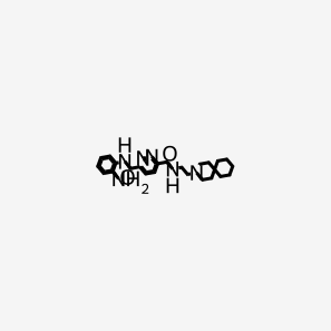 Nc1ccccc1NC(=O)c1ccc(C(=O)NCCN2CCC3(CCCCC3)CC2)nn1